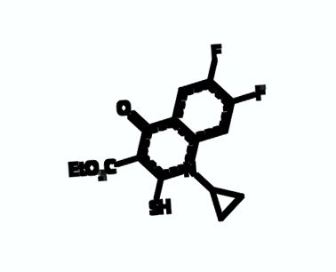 CCOC(=O)c1c(S)n(C2CC2)c2cc(F)c(F)cc2c1=O